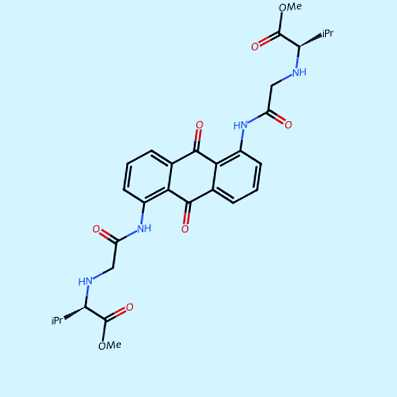 COC(=O)[C@H](NCC(=O)Nc1cccc2c1C(=O)c1cccc(NC(=O)CN[C@@H](C(=O)OC)C(C)C)c1C2=O)C(C)C